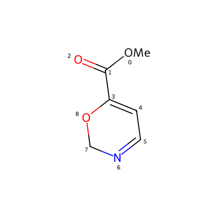 COC(=O)C1=CC=NCO1